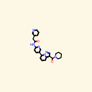 O=C(Cc1cccnc1)Nc1ccc(-c2cccc3c(C(=O)N4CCCCC4)cnn23)cn1